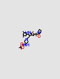 Cc1cc(C)cc(-c2[nH]c3sc(C(C)(C)C(=O)N4C5CCC4CC5)cc3c2CCN2CCC(NC(=O)OC(C)(C)C)CC2)c1